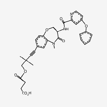 CN1C(=O)C(NC(=O)c2cc(Oc3ccccc3)ccn2)COc2ccc(C#CC(C)(C)COC(=O)CCC(=O)O)cc21